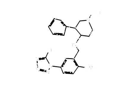 COc1ccc(-n2nnnc2C(F)(F)F)cc1CNC1CCN(C(=O)O)CC1c1ccccc1